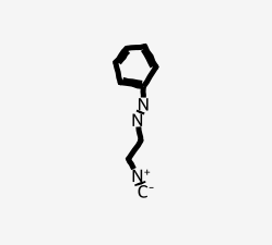 [C-]#[N+]CC/N=N/c1ccccc1